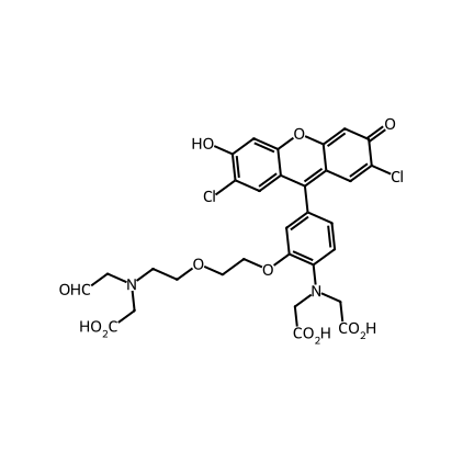 O=CCN(CCOCCOc1cc(-c2c3cc(Cl)c(=O)cc-3oc3cc(O)c(Cl)cc23)ccc1N(CC(=O)O)CC(=O)O)CC(=O)O